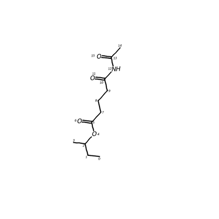 CCC(C)OC(=O)CCCC(=O)NC(C)=O